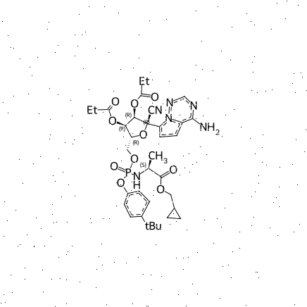 CCC(=O)O[C@H]1[C@@H](OC(=O)CC)[C@](C#N)(c2ccc3c(N)ncnn23)O[C@@H]1COP(=O)(N[C@@H](C)C(=O)OCC1CC1)Oc1ccc(C(C)(C)C)cc1